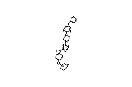 CN1CCC[C@@H](Oc2ccc(Nc3ncnc(N4CCN(c5ncc(Cc6ccccc6)cn5)CC4)n3)cc2)C1